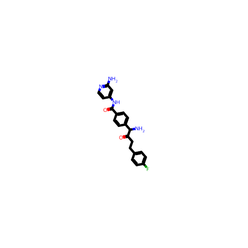 Nc1cc(NC(=O)c2ccc(C(N)C(=O)CCc3ccc(F)cc3)cc2)ccn1